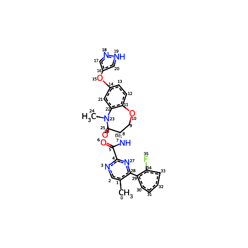 Cc1cnc(C(=O)N[C@H]2COc3ccc(Oc4cn[nH]c4)cc3N(C)C2=O)nc1-c1ccccc1F